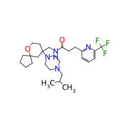 CC(C)CN1CCN(C2(CNC(=O)CCc3cccc(C(F)(F)F)n3)CCOC3(CCCC3)C2)CC1